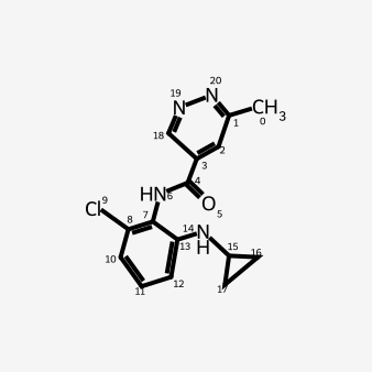 Cc1cc(C(=O)Nc2c(Cl)cccc2NC2CC2)cnn1